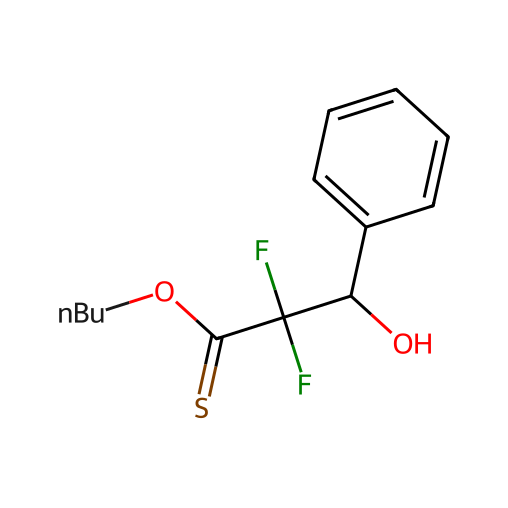 CCCCOC(=S)C(F)(F)C(O)c1ccccc1